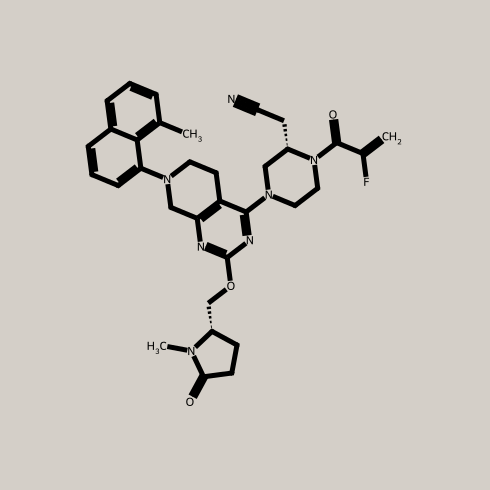 C=C(F)C(=O)N1CCN(c2nc(OC[C@@H]3CCC(=O)N3C)nc3c2CCN(c2cccc4cccc(C)c24)C3)C[C@@H]1CC#N